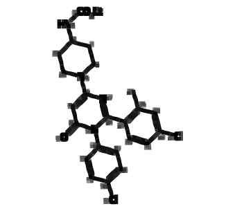 CCOC(=O)NC1CCN(c2cc(=O)n(-c3ccc(Cl)cc3)c(-c3ccc(Cl)cc3C)n2)CC1